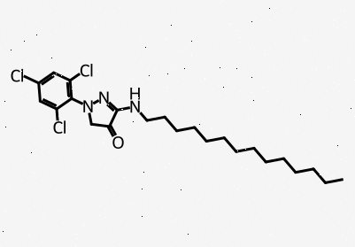 CCCCCCCCCCCCCCNC1=NN(c2c(Cl)cc(Cl)cc2Cl)CC1=O